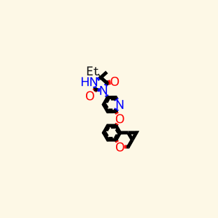 CC[C@@]1(C)NC(=O)N(c2ccc(Oc3cccc4c3C3CC3CO4)nc2)C1=O